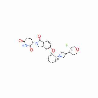 O=C1CCC(N2Cc3cc(O[C@@H]4CCCC[C@@H]4N4CC(C5CCOC[C@H]5F)C4)ccc3C2=O)C(=O)N1